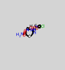 CN(c1ccc(Cl)cc1)S(=O)(=O)NC(=O)C12CC1/C=C\CCCCCC(OC(N)=O)C(=O)N1CCCC1C(=O)N2